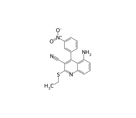 CCSc1nc2cccc(N)c2c(-c2cccc([N+](=O)[O-])c2)c1C#N